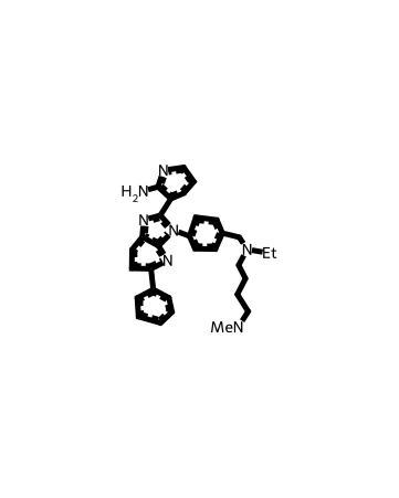 CCN(CCCCNC)Cc1ccc(-n2c(-c3cccnc3N)nc3ccc(-c4ccccc4)nc32)cc1